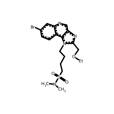 CCOCc1nc2cnc3cc(Br)ccc3c2n1CCCCS(=O)(=O)N(C)C